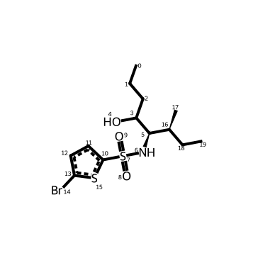 CCCC(O)[C@H](NS(=O)(=O)c1ccc(Br)s1)[C@@H](C)CC